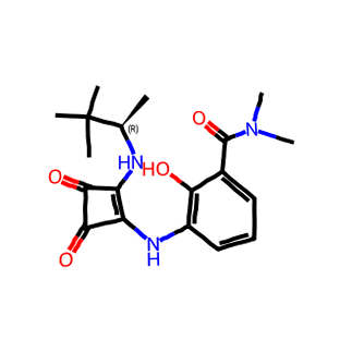 C[C@@H](Nc1c(Nc2cccc(C(=O)N(C)C)c2O)c(=O)c1=O)C(C)(C)C